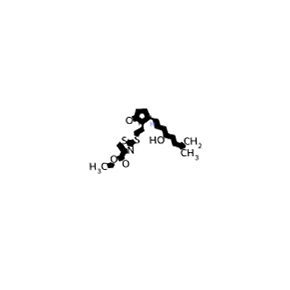 C=C(C)CC[C@@H](O)C/C=C/[C@@H]1CCC(=O)[C@@H]1CCSc1nc(C(=O)OCC)cs1